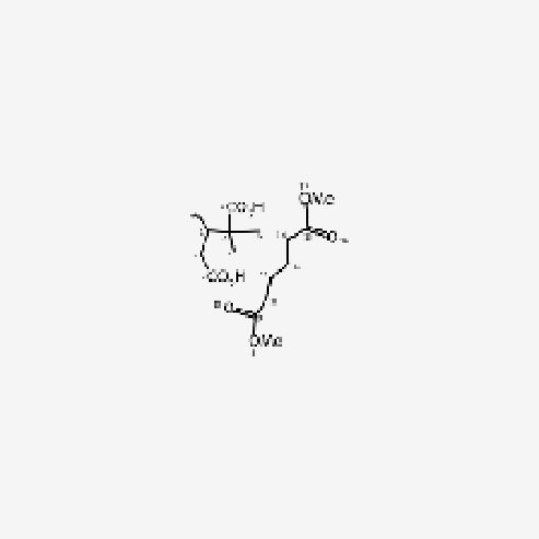 CC(CC(=O)O)C(C)(C)C(=O)O.COC(=O)CCCCC(=O)OC